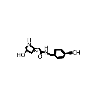 C#Cc1ccc(CNC(=O)C[C@@H]2C[C@@H](O)CN2)cc1